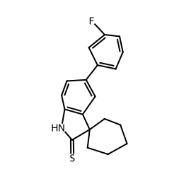 Fc1cccc(-c2ccc3c(c2)C2(CCCCC2)C(=S)N3)c1